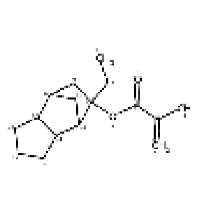 C=C(C)C(=O)OC1(CC)CC2CC1C1CCCC21